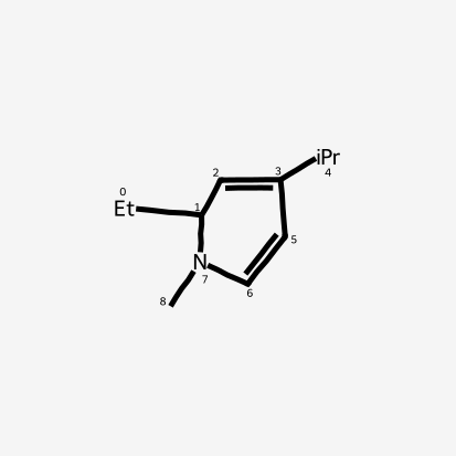 CCC1C=C(C(C)C)C=CN1C